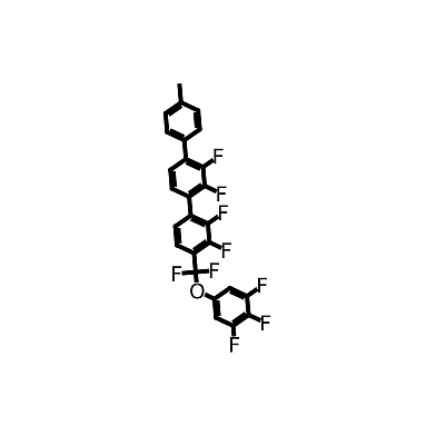 Cc1ccc(-c2ccc(-c3ccc(C(F)(F)Oc4cc(F)c(F)c(F)c4)c(F)c3F)c(F)c2F)cc1